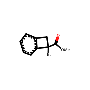 CCC1(C(=O)OC)Cc2ccccc21